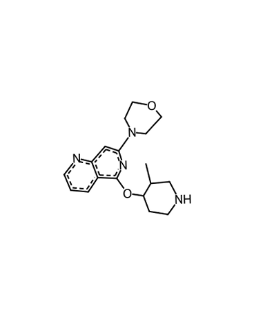 CC1CNCCC1Oc1nc(N2CCOCC2)cc2ncccc12